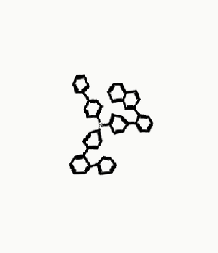 c1ccc(-c2ccc(N(c3ccc(-c4ccccc4-c4ccccc4)cc3)c3ccc(-c4ccccc4-c4ccc5ccccc5c4)cc3)cc2)cc1